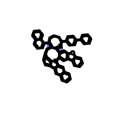 c1ccc(-c2ccc(C3CCC/C(c4cccc5ccccc45)=C4/Cc5ccc6c7cc8ccccc8cc7n(c6c5)-c5cc6c(cc5/C4=N/3)oc3ccccc36)cc2)cc1